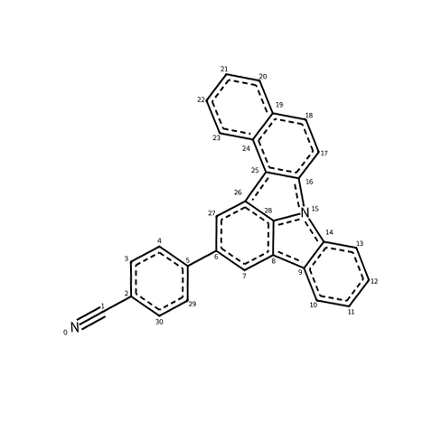 N#Cc1ccc(-c2cc3c4ccccc4n4c5ccc6ccccc6c5c(c2)c34)cc1